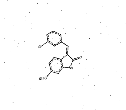 COc1ccc2c(c1)NC(=O)/C2=C/c1cccc(Cl)c1